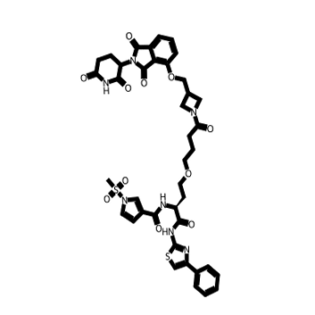 CS(=O)(=O)n1ccc(C(=O)N[C@@H](CCOCCCC(=O)N2CC(COc3cccc4c3C(=O)N(C3CCC(=O)NC3=O)C4=O)C2)C(=O)Nc2nc(-c3ccccc3)cs2)c1